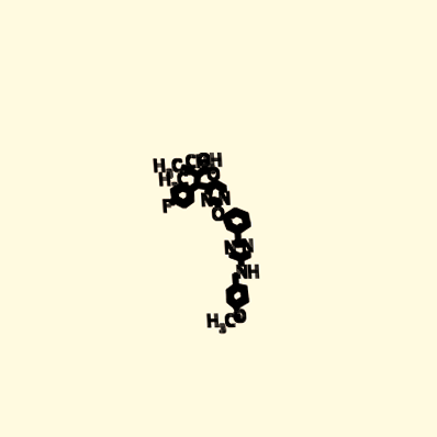 COc1ccc(CNc2cnc(-c3cccc(Oc4nccc(C(c5ccc(F)cc5)C(C(=O)O)C(C)(C)C)n4)c3)nc2)cc1